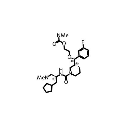 CNC[C@H](CC1CCCC1)NC(=O)N1CCC[C@@H]([C@@H](OCCOC(=O)NC)c2cccc(F)c2)C1